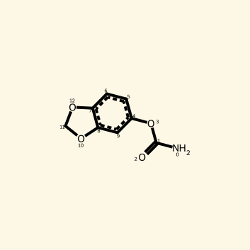 NC(=O)Oc1ccc2c(c1)OCO2